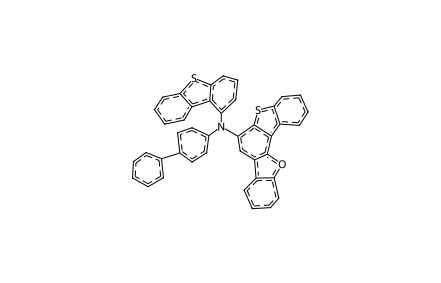 c1ccc(-c2ccc(N(c3cc4c5ccccc5oc4c4c3sc3ccccc34)c3cccc4sc5ccccc5c34)cc2)cc1